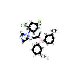 C=C(C)B(c1cccc(C(F)(F)F)c1)c1cccc(C(F)(F)F)c1.Fc1ccc(-n2ccnc2)c(Cl)c1